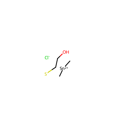 OCC[S-].[CH3][Sn+2][CH3].[Cl-]